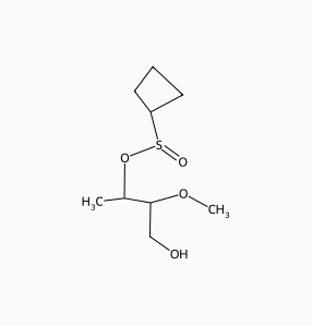 COC(CO)C(C)OS(=O)C1CCC1